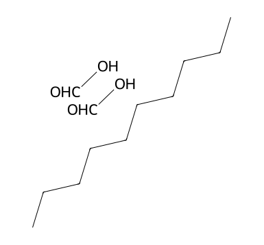 CCCCCCCCCC.O=CO.O=CO